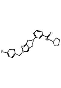 O=C(NC1CCCC1)c1cccc(N2Cc3cn(Cc4ccc(F)cc4)nc3C2)c1